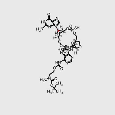 CN(CCOC(=O)Nc1ncnc2c1ncn2[C@@H]1O[C@@]23CO[C@@H]1[C@@H]2O[P@@](=O)(S)OC[C@H]1O[C@@H](n2cnc4c(=O)[nH]c(N)nc42)[C@H](O[P@@](=O)(S)OC3)[C@@H]1F)C(=O)OC(C)(C)C